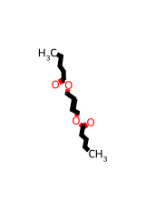 CCCCC(=O)OC/C=C/COC(=O)CCCC